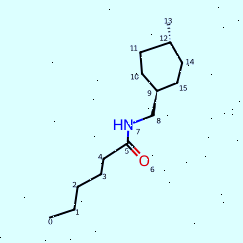 CCCCCC(=O)NC[C@H]1CC[C@H](C)CC1